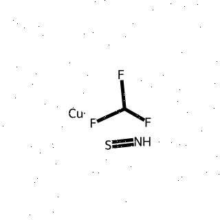 FC(F)F.N=S.[Cu]